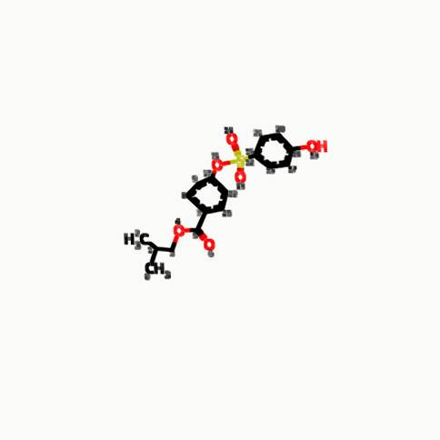 CC(C)COC(=O)c1ccc(OS(=O)(=O)c2ccc(O)cc2)cc1